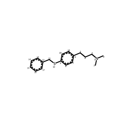 CN(C)CCCc1ccc(SCc2ccccc2)cc1